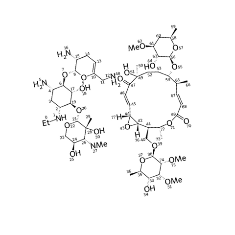 CCN[C@@H]1C[C@H](N)[C@@H](O[C@H]2OC(CN)=CC[C@H]2N)[C@H](O)[C@H]1O[C@H]1OC[C@H](O)[C@@H](NC)[C@@]1(C)O.CO[C@@H]1[C@H](O)[C@@H](C)O[C@@H](OC[C@H]2[C@@H]3O[C@@H]3/C=C/C(=O)[C@@](C)(O)CC[C@H](O[C@@H]3O[C@H](C)C[C@H](OC)[C@H]3O)[C@@H](C)/C=C/C(=O)O[C@@H]2C)[C@@H]1OC